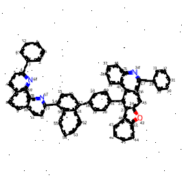 c1ccc(-c2ccc3ccc4ccc(-c5ccc(-c6ccc(-c7c8c(cc9c(-c%10ccccc%10)nc%10ccccc%10c79)oc7ccccc78)cc6)c6ccccc56)nc4c3n2)cc1